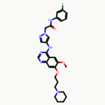 COc1cc2c(Nc3cnn(CC(=O)Nc4cccc(F)c4)c3)ncnc2cc1OCCCN1CCCCC1